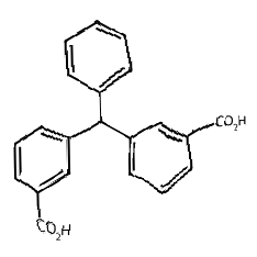 O=C(O)c1cccc(C(c2ccccc2)c2cccc(C(=O)O)c2)c1